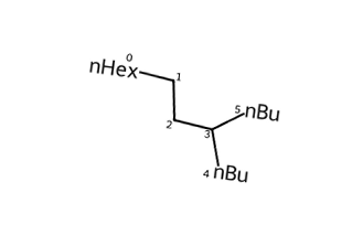 [CH2]CCCCCCCC(CCCC)CCCC